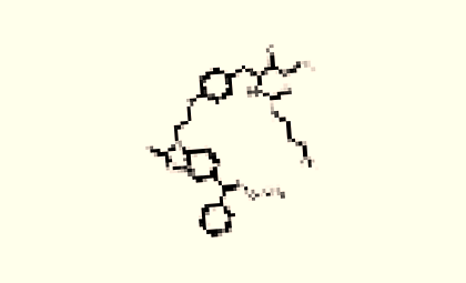 CCCCOC(=O)NC(Cc1ccc(OCCn2c(=O)sc3cc(C(=NOC)c4ccccc4)ccc32)cc1)C(=O)OC